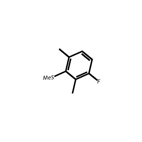 CSc1c(C)ccc(F)c1C